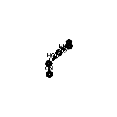 O=C(CN1CCN(C[C@@H](O)COc2ccc3oc(-c4ccccc4)nc3c2)CC1)Nc1cccc2c1CCC2